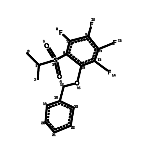 CC(C)S(=O)(=O)c1c(F)c(F)c(F)c(F)c1OCc1ccccc1